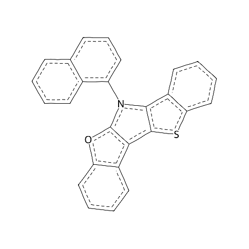 c1ccc2c(-n3c4oc5ccccc5c4c4sc5ccccc5c43)cccc2c1